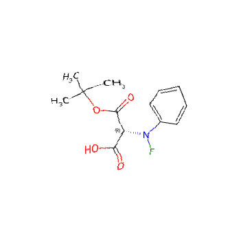 CC(C)(C)OC(=O)[C@@H](C(=O)O)N(F)c1ccccc1